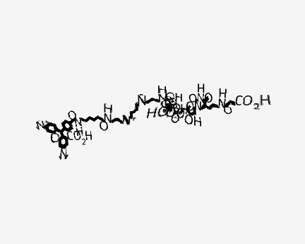 CN(CCCC[N+](C)(C)CCCNC(=O)CCCCCNC(=O)c1ccc(-c2c3ccc(=[N+](C)C)cc-3oc3cc(N(C)C)ccc23)c(C(=O)O)c1)CCCNP(=O)(O)OP(=O)(O)OP(=O)(O)OC[C@H]1O[C@@H](n2cc(/C=C/CNC(=O)CCC(=O)O)c(=O)[nH]c2=O)CC1O